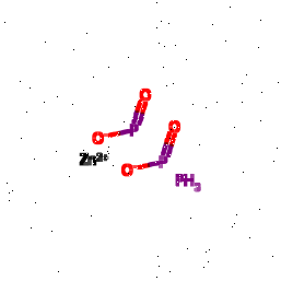 O=P[O-].O=P[O-].P.[Zn+2]